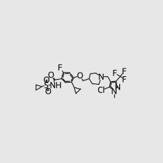 Cn1nc(C(F)(F)F)c(CN2CCC(COc3cc(F)c(C(=O)NS(=O)(=O)C4CC4)cc3C3CC3)CC2)c1Cl